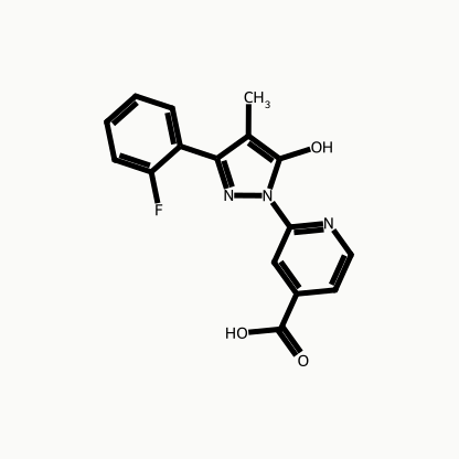 Cc1c(-c2ccccc2F)nn(-c2cc(C(=O)O)ccn2)c1O